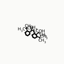 CC(C)c1cccc(CC(C)c2ccccc2C(C)(C)C)c1C(C)(C)O